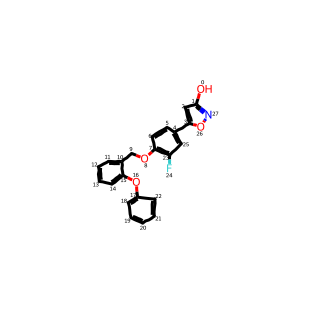 Oc1cc(-c2ccc(OCc3ccccc3Oc3ccccc3)c(F)c2)on1